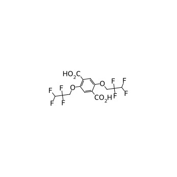 O=C(O)c1cc(OCC(F)(F)C(F)F)c(C(=O)O)cc1OCC(F)(F)C(F)F